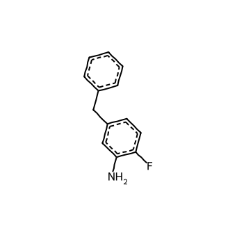 Nc1cc(Cc2ccccc2)ccc1F